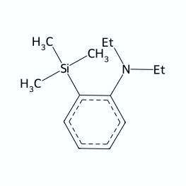 CCN(CC)c1ccccc1[Si](C)(C)C